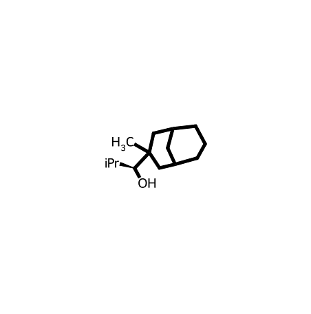 CC(C)[C@H](O)C1(C)CC2CCCC(C2)C1